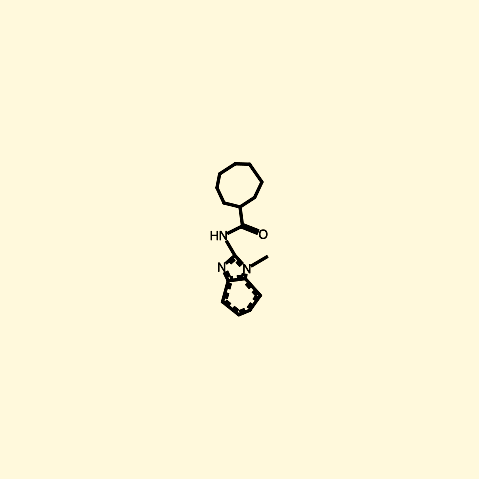 Cn1c(NC(=O)C2CCCCCCC2)nc2ccccc21